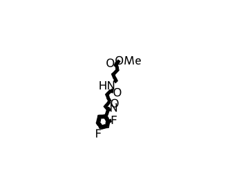 COC(=O)CCCNC(=O)CC1CC(c2ccc(F)cc2F)=NO1